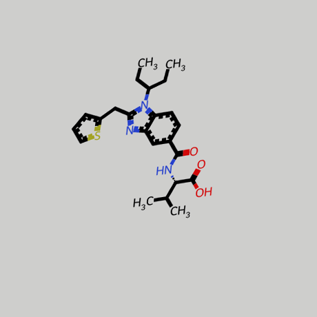 CCC(CC)n1c(Cc2cccs2)nc2cc(C(=O)N[C@H](C(=O)O)C(C)C)ccc21